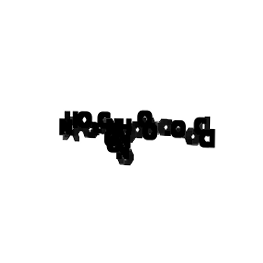 Cc1nccc(-c2ccc(C[C@H](NC(=O)C3Cc4cc5c(cc4CN3C(=O)N3CCCCC3)O[C@@H](c3ccc(OCc4ccc(Cl)c(Cl)c4)cc3)CO5)C(=O)O)cc2)c1C